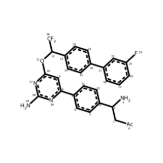 CC(=O)CC(N)c1ccc(-c2cc(OC(c3ccc(-c4cccc(F)c4)cc3)C(F)(F)F)nc(N)n2)cc1